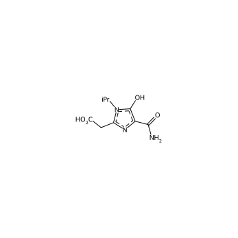 CC(C)n1c(CC(=O)O)nc(C(N)=O)c1O